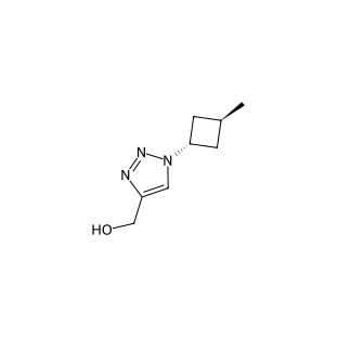 C[C@H]1C[C@H](n2cc(CO)nn2)C1